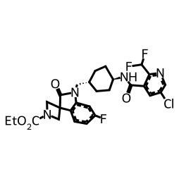 CCOC(=O)N1CC2(C1)C(=O)N(C[C@H]1CC[C@H](NC(=O)c3cc(Cl)cnc3C(F)F)CC1)c1cc(F)ccc12